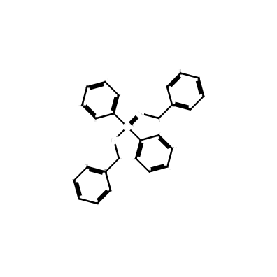 c1ccc(CN=P(NCc2ccccc2)(c2ccccc2)c2ccccc2)cc1